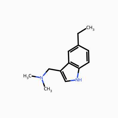 CCc1ccc2[nH]cc(CN(C)C)c2c1